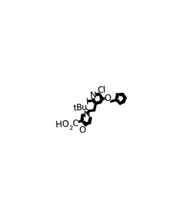 CC(C)(C)[C@H](Cc1cc(OCc2ccccc2)c(Cl)nc1I)n1ccc(=O)c(C(=O)O)c1